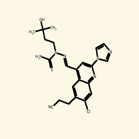 CC(C)(O)CCN(/N=C/c1cc(-n2ccnc2)nc2cc(Cl)c(CCC#N)cc12)C(N)=S